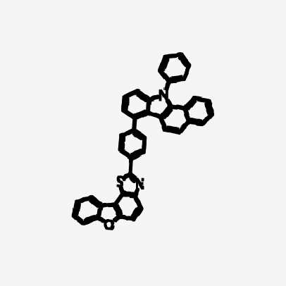 c1ccc(-n2c3cccc(-c4ccc(-c5nc6ccc7oc8ccccc8c7c6s5)cc4)c3c3ccc4ccccc4c32)cc1